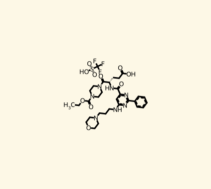 CCOC(=O)N1CCN(C(=O)[C@H](CCC(=O)O)NC(=O)c2cc(NCCCN3CCOCC3)nc(-c3ccccc3)n2)CC1.O=S(=O)(O)C(F)(F)F